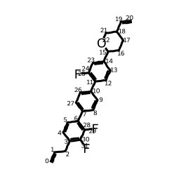 C=CCc1ccc(-c2ccc(-c3ccc(C4CCC(C=C)CO4)cc3F)cc2)c(F)c1F